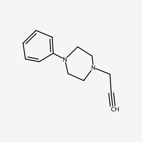 C#CCN1CCN(c2ccccc2)CC1